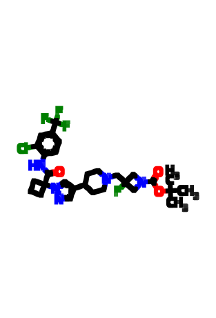 CC(C)(C)OC(=O)N1CC(F)(CN2CCC(c3cnn(C4(C(=O)Nc5ccc(C(F)(F)F)cc5Cl)CCC4)c3)CC2)C1